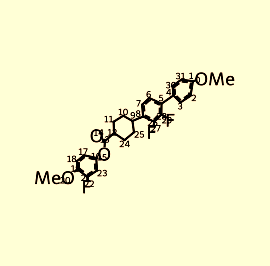 COc1ccc(-c2ccc(C3CCC(C(=O)Oc4ccc(OC)c(F)c4)CC3)c(F)c2F)cc1